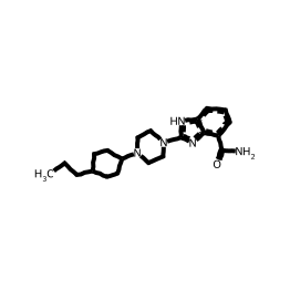 CCCC1CCC(N2CCN(c3nc4c(C(N)=O)cccc4[nH]3)CC2)CC1